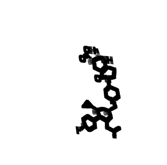 CC(C)CC1=C(C2=CC[C@H](F)CC2)[C@@H](C2CC2)C[C@@H](CN2CCC(N3CCC4=C(C[C@H](C(=O)O)[C@H](C)N4)C3=O)CC2)C1